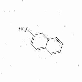 O=C(O)C1=CC=C2C=CC=CN2C1